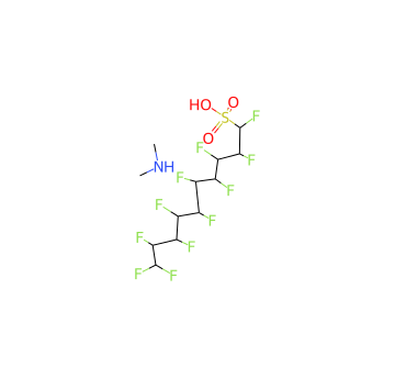 CNC.O=S(=O)(O)C(F)C(F)C(F)C(F)C(F)C(F)C(F)C(F)C(F)C(F)F